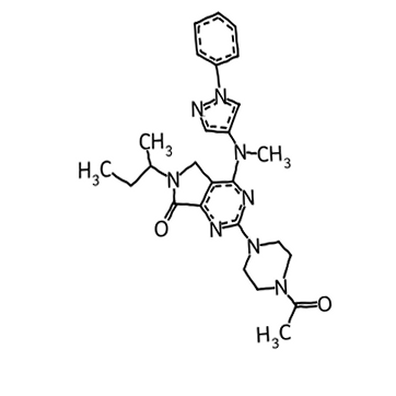 CCC(C)N1Cc2c(nc(N3CCN(C(C)=O)CC3)nc2N(C)c2cnn(-c3ccccc3)c2)C1=O